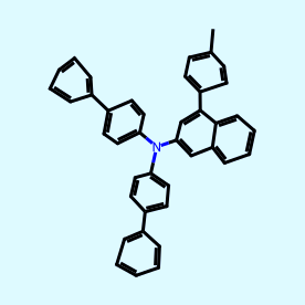 Cc1ccc(-c2cc(N(c3ccc(-c4ccccc4)cc3)c3ccc(-c4ccccc4)cc3)cc3ccccc23)cc1